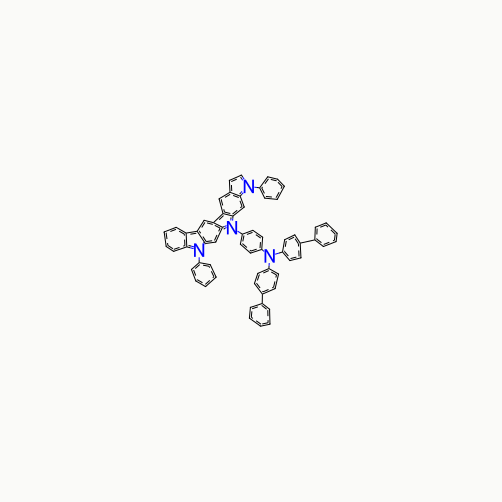 c1ccc(-c2ccc(N(c3ccc(-c4ccccc4)cc3)c3ccc(-n4c5cc6c(ccn6-c6ccccc6)cc5c5cc6c7ccccc7n(-c7ccccc7)c6cc54)cc3)cc2)cc1